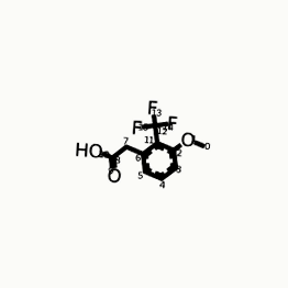 COc1cccc(CC(=O)O)c1C(F)(F)F